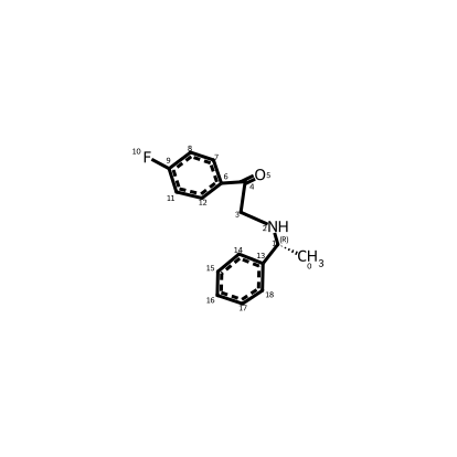 C[C@@H](NCC(=O)c1ccc(F)cc1)c1ccccc1